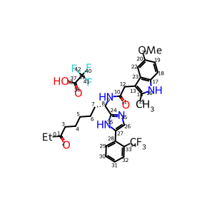 CCC(=O)CCCCC[C@H](NC(=O)Cc1c(C)[nH]c2ccc(OC)cc12)c1ncc(-c2ccccc2C(F)(F)F)[nH]1.O=C(O)C(F)(F)F